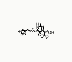 COC(=O)[C@H](CO)NC(=O)[C@H](CSCCc1cn(C)nn1)NC(C)=O